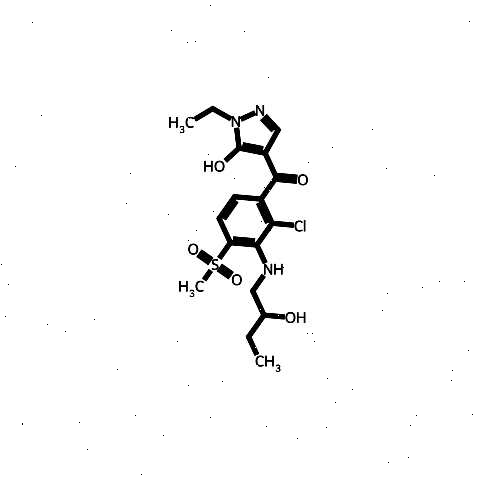 CCC(O)CNc1c(S(C)(=O)=O)ccc(C(=O)c2cnn(CC)c2O)c1Cl